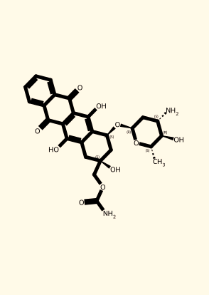 C[C@@H]1O[C@@H](O[C@H]2C[C@](O)(COC(N)=O)Cc3c(O)c4c(c(O)c32)C(=O)c2ccccc2C4=O)C[C@H](N)[C@H]1O